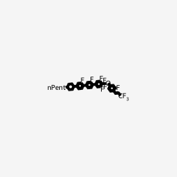 CCCCCC1CCC(c2ccc(-c3ccc(-c4cc(F)c(C(F)(F)Oc5ccc(/C=C/C(F)(F)F)c(F)c5)c(F)c4)c(F)c3)c(F)c2)CC1